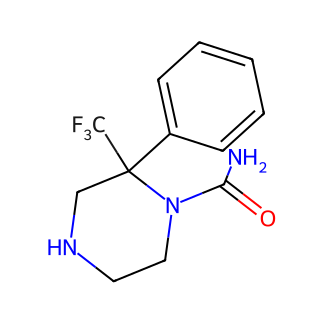 NC(=O)N1CCNCC1(c1ccccc1)C(F)(F)F